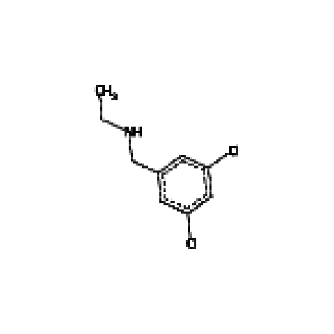 CCNCc1cc(Cl)cc(Cl)c1